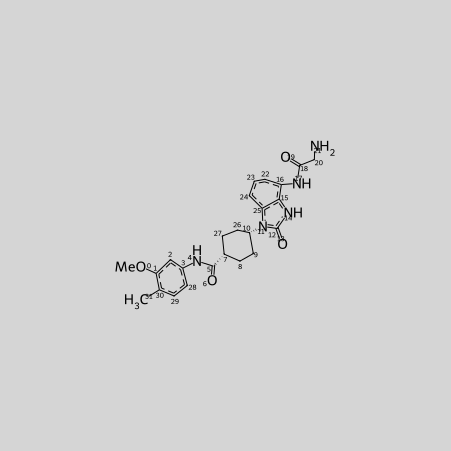 COc1cc(NC(=O)[C@H]2CC[C@@H](n3c(=O)[nH]c4c(NC(=O)CN)cccc43)CC2)ccc1C